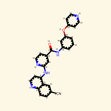 N#Cc1ccc2nccc(Nc3cc(C(=O)Nc4cccc(Oc5ccncc5)c4)ccn3)c2c1